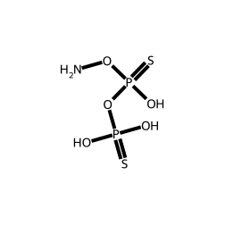 NOP(O)(=S)OP(O)(O)=S